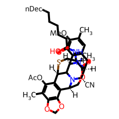 CCCCCCCCCCCCCCCC(=O)N[C@H]1CS[C@@H]2c3c(OC(C)=O)c(C)c4c(c3[C@H](COC1=O)N1C2[C@H]2c3c(cc(C)c(OC)c3O)C[C@@H]([C@@H]1C#N)N2C)OCO4